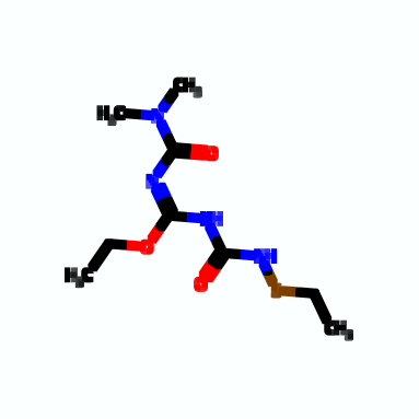 CCOC(=NC(=O)N(C)C)NC(=O)NSCC